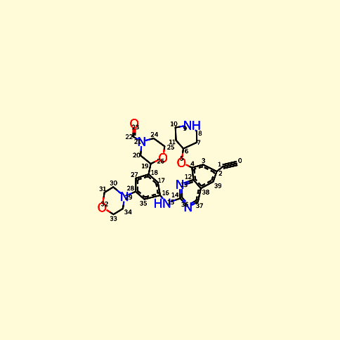 C#Cc1cc(OC2CCNCC2)c2nc(Nc3cc(C4CN(C=O)CCO4)cc(N4CCOCC4)c3)ncc2c1